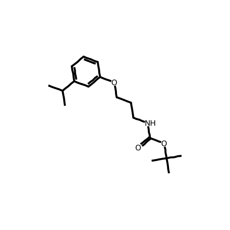 CC(C)c1cccc(OCCCNC(=O)OC(C)(C)C)c1